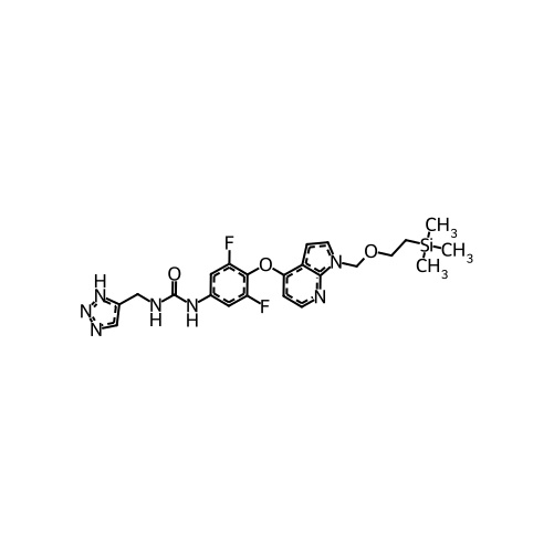 C[Si](C)(C)CCOCn1ccc2c(Oc3c(F)cc(NC(=O)NCc4cnn[nH]4)cc3F)ccnc21